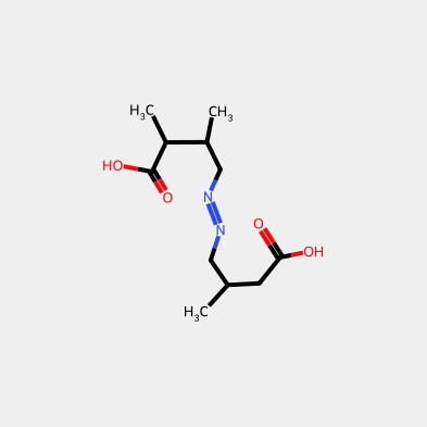 CC(CN=NCC(C)C(C)C(=O)O)CC(=O)O